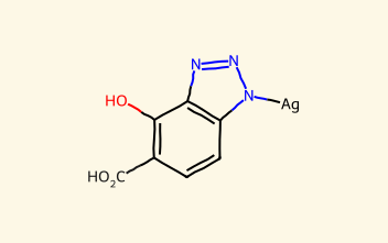 O=C(O)c1ccc2c(nn[n]2[Ag])c1O